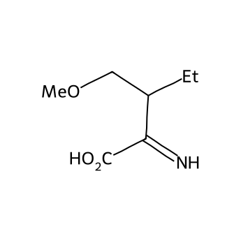 CCC(COC)C(=N)C(=O)O